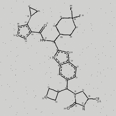 O=C(NC(c1nc2cc(C(C3COC3)N3CC(C(F)(F)F)NC3=O)ccc2o1)C1CCC(F)(F)CC1)c1nonc1C1CC1